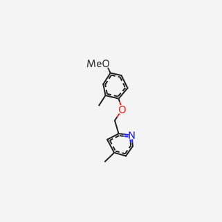 COc1ccc(OCc2cc(C)ccn2)c(C)c1